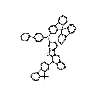 CC1(C)c2ccccc2-c2ccc(-c3c4ccccc4cc4c3oc3cc(N(c5ccc(-c6ccccc6)cc5)c5ccc6c(c5)C5(c7ccccc7-c7ccccc75)c5ccccc5-6)ccc34)cc21